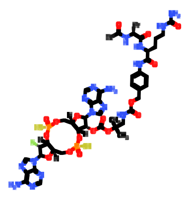 CCC(=O)N[C@H](C(=O)N[C@@H](CCCNC(N)=O)C(=O)Nc1ccc(COC(=O)NCC(C)(C)OC(=O)O[C@@H]2[C@@H]3O[P@](=O)(S)OC[C@H]4O[C@@H](n5cnc6c(N)ncnc65)[C@H](F)[C@@H]4O[P@](=O)(S)OC[C@H]3O[C@H]2n2cnc3c(N)ncnc32)cc1)C(C)C